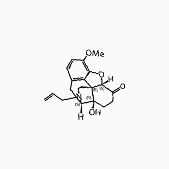 C=CCN1CC[C@@]23c4c5ccc(OC)c4O[C@@H]2C(=O)CC[C@]3(O)[C@@H]1C5